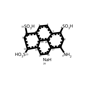 Nc1cc(S(=O)(=O)O)c2ccc3c(S(=O)(=O)O)cc(S(=O)(=O)O)c4ccc1c2c43.[NaH]